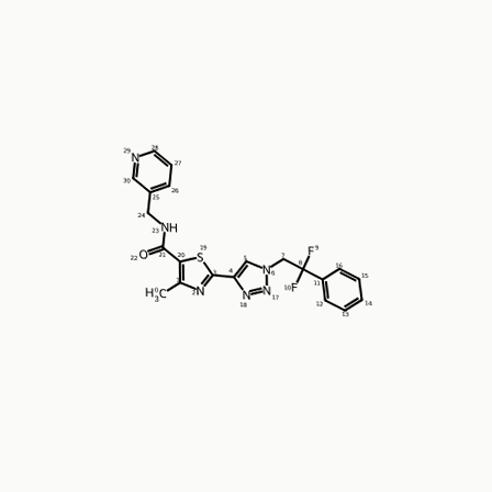 Cc1nc(-c2cn(CC(F)(F)c3ccccc3)nn2)sc1C(=O)NCc1cccnc1